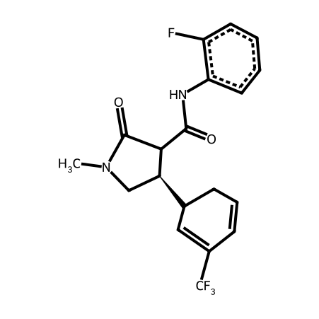 CN1C[C@H](C2C=C(C(F)(F)F)C=CC2)C(C(=O)Nc2ccccc2F)C1=O